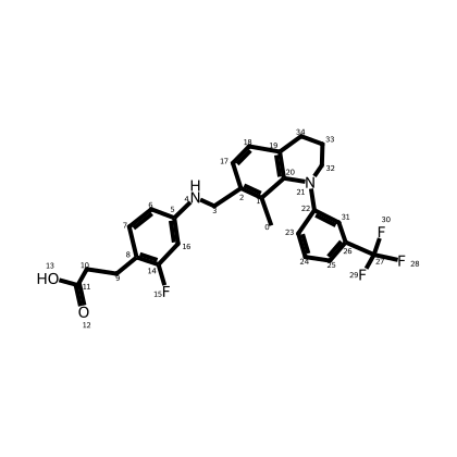 Cc1c(CNc2ccc(CCC(=O)O)c(F)c2)ccc2c1N(c1cccc(C(F)(F)F)c1)CCC2